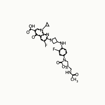 CC(=O)NC[C@@H]1CN(c2ccc(NC3CN(c4nc5c(cc4F)c(=O)c(C(=O)O)cn5C4CC4)C3)c(F)c2)C(=O)O1